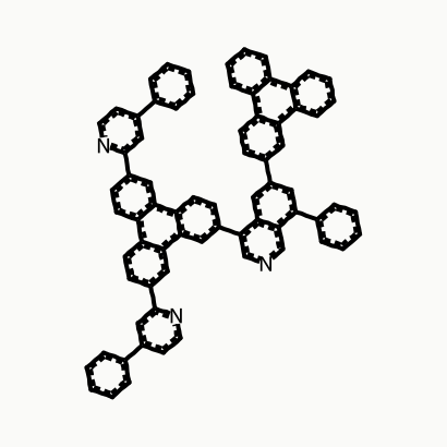 c1ccc(-c2ccnc(-c3ccc4c5ccc(-c6cc(-c7ccccc7)ccn6)cc5c5cc(-c6cncc7c(-c8ccccc8)cc(-c8ccc9c%10ccccc%10c%10ccccc%10c9c8)cc67)ccc5c4c3)c2)cc1